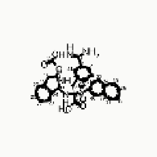 N=C(N)c1cccc(C[C@](NC2NC(OC(=O)O)Cc3ccccc32)(C(=O)O)S(=O)(=O)c2ccc3ccccc3c2)c1